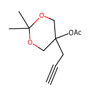 C#CCC1(OC(C)=O)COC(C)(C)OC1